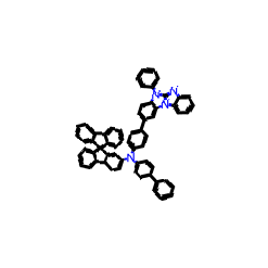 c1ccc(-c2ccc(N(c3ccc(-c4ccc5c(c4)n4c6ccccc6nc4n5-c4ccccc4)cc3)c3ccc4c(c3)C3(c5ccccc5-c5ccccc53)c3ccccc3-4)cc2)cc1